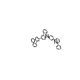 c1ccc(-c2cccc(-c3ccc(-n4c5ccccc5c5cc(-c6ccc7oc8ccccc8c7c6)ccc54)cc3)n2)cc1